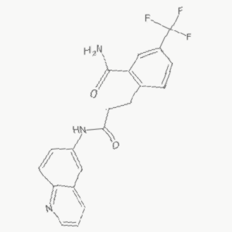 NC(=O)c1cc(C(F)(F)F)ccc1C[CH]C(=O)Nc1ccc2ncccc2c1